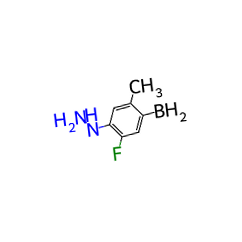 Bc1cc(F)c(NN)cc1C